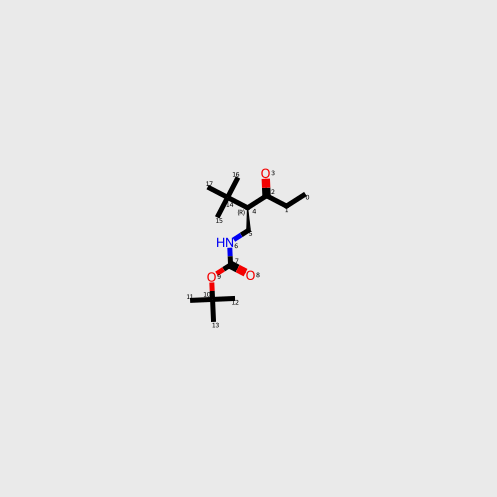 CCC(=O)[C@@H](CNC(=O)OC(C)(C)C)C(C)(C)C